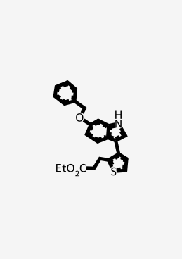 CCOC(=O)CCc1sccc1-c1c[nH]c2cc(OCc3ccccc3)ccc12